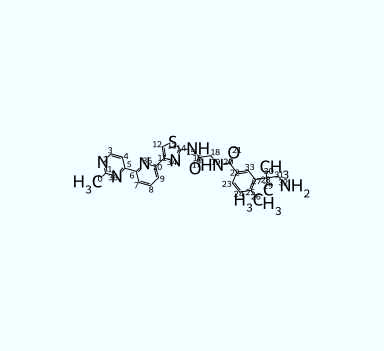 Cc1nccc(-c2cccc(-c3csc(NC(=O)CNC(=O)c4ccc(C)c(C(C)(C)CN)c4)n3)n2)n1